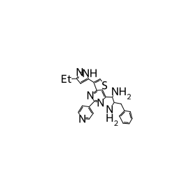 CCc1cc(-c2csc3c(C(N)C(N)Cc4ccccc4)nc(-c4ccncc4)nc23)[nH]n1